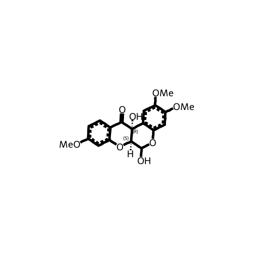 COc1ccc2c(c1)O[C@@H]1C(O)Oc3cc(OC)c(OC)cc3[C@]1(O)C2=O